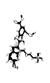 COC(=O)c1cc(OC)c2c(c1)nc(-c1cc3ccc(Br)nc3n1COCC[Si](C)(C)C)n2C